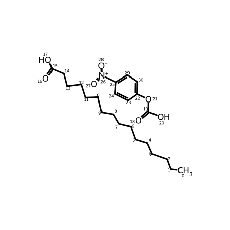 CCCCCCCCCCCCCCCC(=O)O.O=C(O)Oc1ccc([N+](=O)[O-])cc1